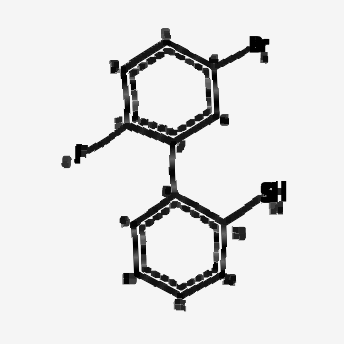 Fc1ccc(Br)cc1-c1ccccc1S